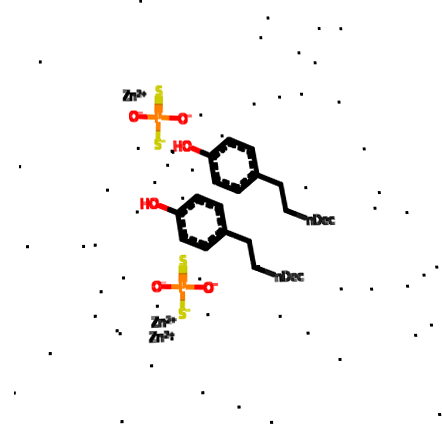 CCCCCCCCCCCCc1ccc(O)cc1.CCCCCCCCCCCCc1ccc(O)cc1.[O-]P([O-])(=S)[S-].[O-]P([O-])(=S)[S-].[Zn+2].[Zn+2].[Zn+2]